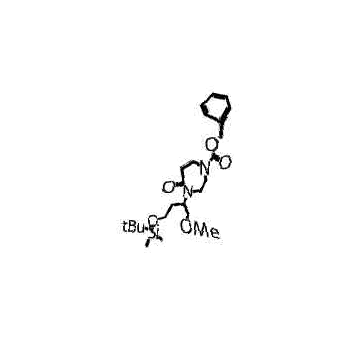 COCC(CCO[Si](C)(C)C(C)(C)C)N1CCN(C(=O)OCc2ccccc2)CCC1=O